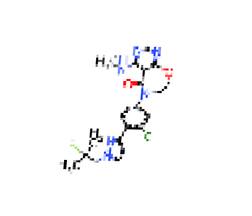 CNc1ncnc2c1C(=O)N(c1ccc(-c3ccn(CC(C)(C)F)n3)c(Cl)c1)CCO2